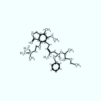 CCOC(=O)C(C)OP(=O)(CC(C)=CCc1c(OC)c(C)c2c(c1OCC[Si](C)(C)C)C(=O)OC2)Oc1ccccc1